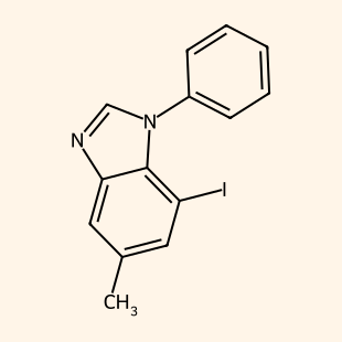 Cc1cc(I)c2c(c1)ncn2-c1ccccc1